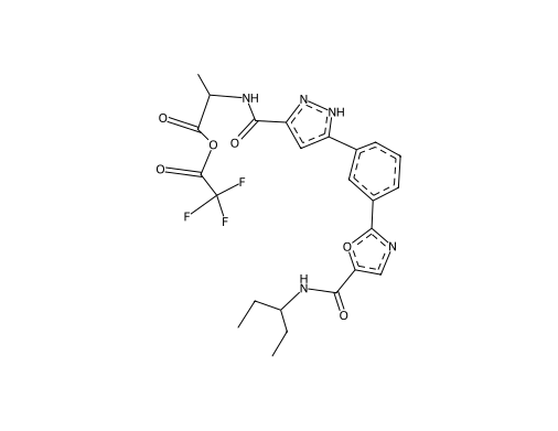 CCC(CC)NC(=O)c1cnc(-c2cccc(-c3cc(C(=O)NC(C)C(=O)OC(=O)C(F)(F)F)n[nH]3)c2)o1